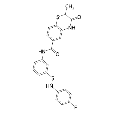 CC1Sc2ccc(C(=O)Nc3cccc(SNc4ccc(F)cc4)c3)cc2NC1=O